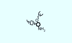 CCN(CC)CCOc1ccc(N)cc1N1CCN(CC)CC1